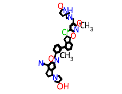 COc1nc(O[C@H]2CCc3c(-c4cccc(-c5nc6cc7c(c(C#N)c6o5)CC[C@H]7N5CC[C@@H](O)C5)c4C)cccc32)c(Cl)cc1CN1CC2(CCC(=O)N2)C1